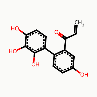 C=CC(=O)c1cc(O)ccc1-c1ccc(O)c(O)c1O